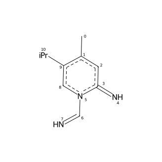 Cc1cc(=N)n(C=N)cc1C(C)C